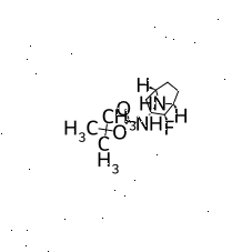 CC(C)(C)OC(=O)N[C@@H]1C[C@@H]2CC[C@@H](N2)[C@H]1F